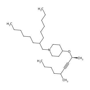 CCCCCCC(CCCCCC)CN1CCC(O[C@@H](C)C#CC(C)CCCC)CC1